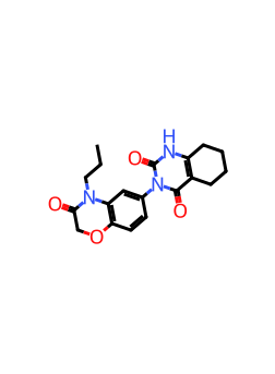 CCCN1C(=O)COc2ccc(-n3c(=O)[nH]c4c(c3=O)CCCC4)cc21